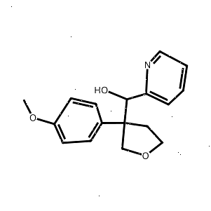 COc1ccc(C2(C(O)c3ccccn3)CCOC2)cc1